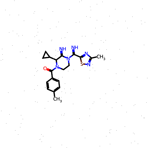 Cc1ccc(C(=O)N2CCN(C(=N)c3nc(C)ns3)C(=N)C2C2CC2)cc1